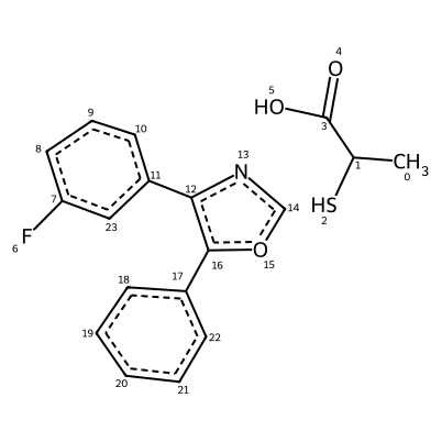 CC(S)C(=O)O.Fc1cccc(-c2ncoc2-c2ccccc2)c1